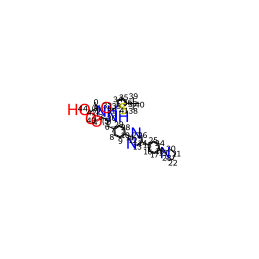 C[C@@H](NC(=O)[C@H](Cc1ccc(-c2ncc(-c3ccc(N4CCCC4)cc3)cn2)cc1)NC(=O)c1ccc(C(C)(C)C)s1)C(=O)O